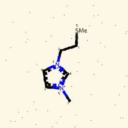 CSCCn1cc[n+](C)c1